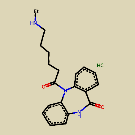 CCNCCCCCC(=O)N1c2ccccc2NC(=O)c2ccccc21.Cl